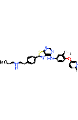 COCCNCCc1ccc(-c2nc3c(Nc4ccc(Oc5ccc(C)nc5)c(C)c4)ncnc3s2)cc1